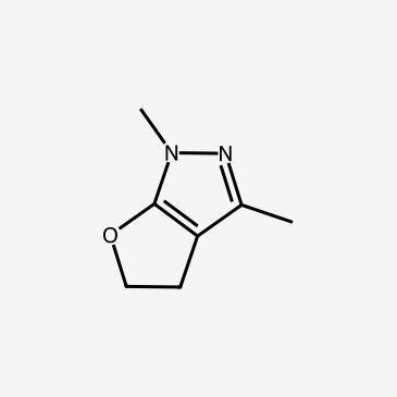 Cc1nn(C)c2c1CCO2